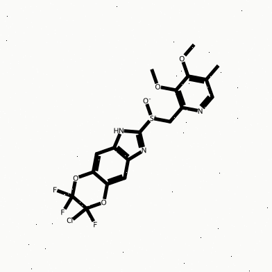 COc1c(C)cnc(C[S+]([O-])c2nc3cc4c(cc3[nH]2)OC(F)(F)C(F)(Cl)O4)c1OC